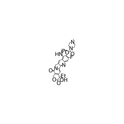 CC[C@@]1(O)C(=O)OCc2c1cc1n(c2=O)Cc2cc3c(NC(C)C)c(OC(=O)N4CCN(C)CC4)c(F)cc3nc2-1